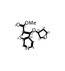 COC(=O)c1sc2cnccc2c1OC1CCOC1